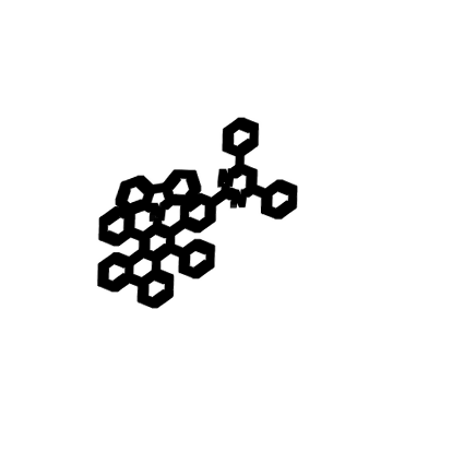 c1ccc(-c2cc(-c3ccccc3)nc(-c3ccc(-c4c(-n5c6ccccc6c6ccccc65)c(-c5ccccc5)c5c6ccccc6c6ccccc6c5c4-c4ccccc4)cc3)n2)cc1